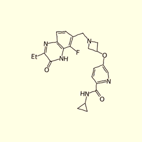 CCc1nc2ccc(CN3CC(Oc4ccc(C(=O)NC5CC5)nc4)C3)c(F)c2[nH]c1=O